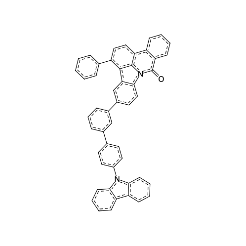 O=c1c2ccccc2c2ccc(-c3ccccc3)c3c4cc(-c5cccc(-c6ccc(-n7c8ccccc8c8ccccc87)cc6)c5)ccc4n1c23